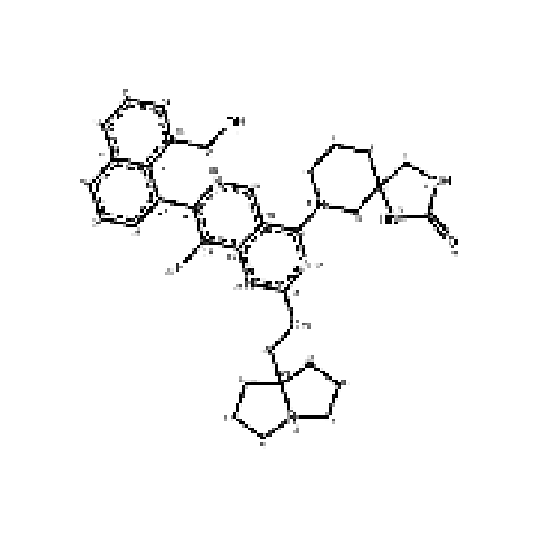 O=C1NCC2(CCCN(c3nc(OCC45CCCN4CCC5)nc4c(F)c(-c5cccc6cccc(CO)c56)ncc34)C2)N1